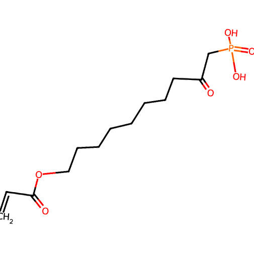 C=CC(=O)OCCCCCCCCC(=O)CP(=O)(O)O